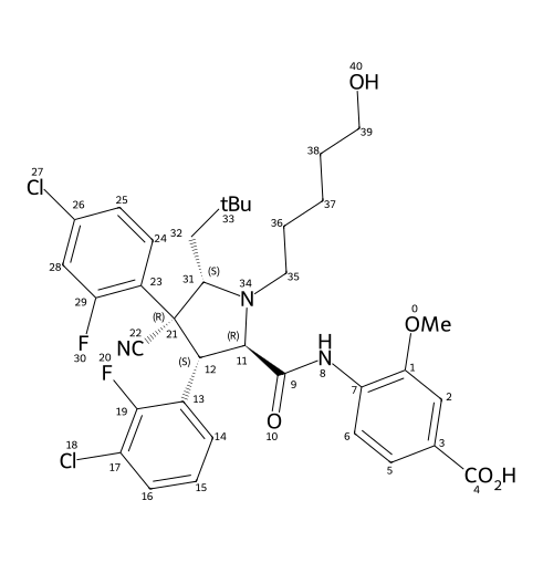 COc1cc(C(=O)O)ccc1NC(=O)[C@H]1[C@H](c2cccc(Cl)c2F)[C@@](C#N)(c2ccc(Cl)cc2F)[C@H](CC(C)(C)C)N1CCCCCO